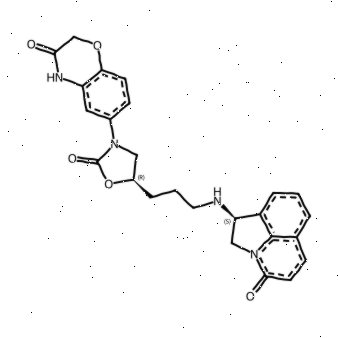 O=C1COc2ccc(N3C[C@@H](CCCN[C@@H]4Cn5c(=O)ccc6cccc4c65)OC3=O)cc2N1